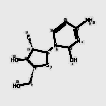 NC1=NC(O)N([C@@H]2S[C@H](CO)[C@@H](O)[C@@H]2F)C=C1